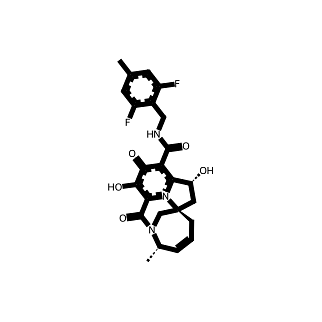 Cc1cc(F)c(CNC(=O)c2c3n4c(c(O)c2=O)C(=O)N2C[C@@]4(CC=C[C@@H]2C)C[C@H]3O)c(F)c1